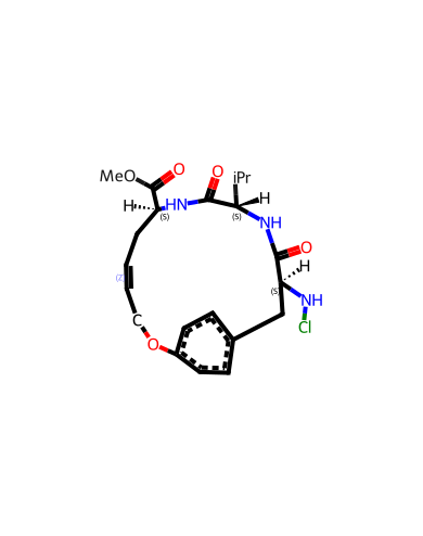 COC(=O)[C@@H]1C/C=C\COc2ccc(cc2)C[C@H](NCl)C(=O)N[C@@H](C(C)C)C(=O)N1